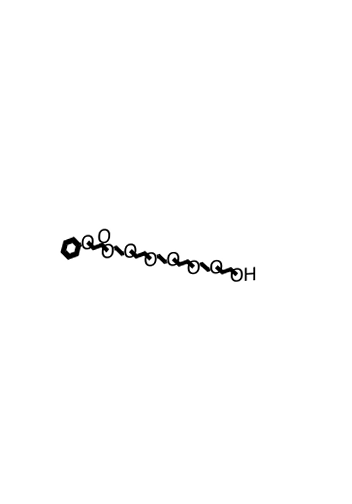 O=C(COc1ccccc1)OCCOCCOCCOCCOCCOCCO